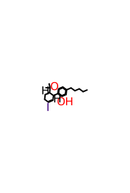 CCCCCc1cc(O)c2c(c1)OC(C)(C)[C@@H]1CCC(I)=C[C@@H]21